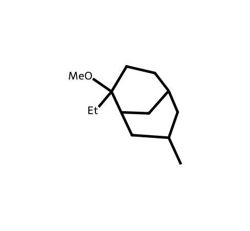 CCC1(OC)CCC2CC(C)CC1C2